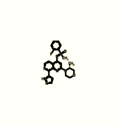 C[C@@H]1COCCN1c1cc(N=S(C)(=O)c2ccccc2F)c2ccnc(-c3ccn[nH]3)c2n1